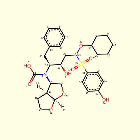 O=C(O)N([C@H]1CO[C@H]2OCC[C@H]21)[C@@H](Cc1ccccc1)[C@H](O)CN(OC1CCCCC1)S(=O)(=O)c1ccc(O)cc1